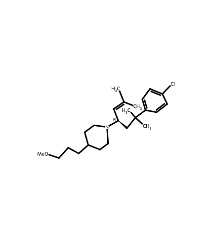 COCCCC1CCN([C@@H](C=C(C)C)CC(C)(C)c2ccc(Cl)cc2)CC1